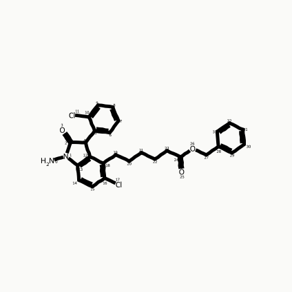 NN1C(=O)C(c2ccccc2Cl)c2c1ccc(Cl)c2CCCCCC(=O)OCc1ccccc1